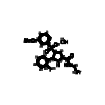 COc1cccc(S(=O)(=O)C2CC(C(=O)NCC(C)C)NC2c2ccccc2F)c1.Cl